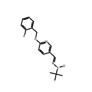 CC(C)(C)[S+]([O-])N=Cc1ccc(OCc2ccccc2F)nc1